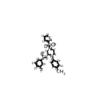 Cc1ccc(N2CCN(S(=O)(=O)c3cccs3)C[C@@H]2C[S@+]([O-])c2cccc(F)c2)cc1